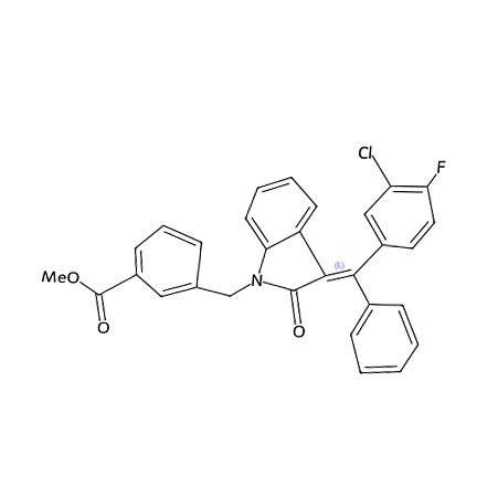 COC(=O)c1cccc(CN2C(=O)/C(=C(\c3ccccc3)c3ccc(F)c(Cl)c3)c3ccccc32)c1